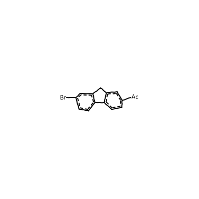 CC(=O)c1ccc2c(c1)Cc1cc(Br)ccc1-2